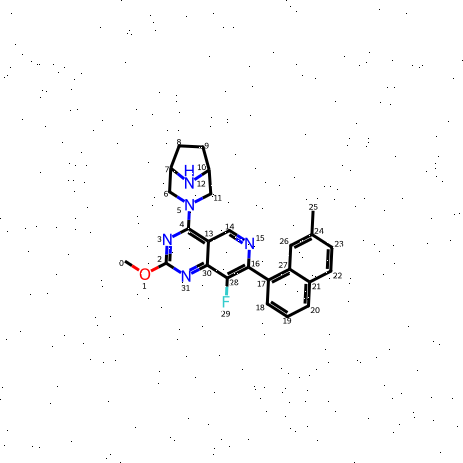 COc1nc(N2CC3CCC(C2)N3)c2cnc(-c3cccc4ccc(C)cc34)c(F)c2n1